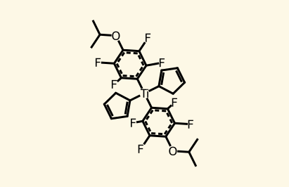 CC(C)Oc1c(F)c(F)[c]([Ti]([C]2=CC=CC2)([C]2=CC=CC2)[c]2c(F)c(F)c(OC(C)C)c(F)c2F)c(F)c1F